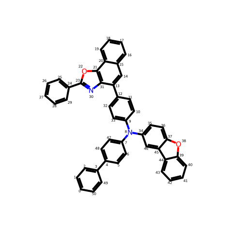 c1ccc(-c2ccc(N(c3ccc(-c4cc5ccccc5c5oc(-c6ccccc6)nc45)cc3)c3ccc4oc5ccccc5c4c3)cc2)cc1